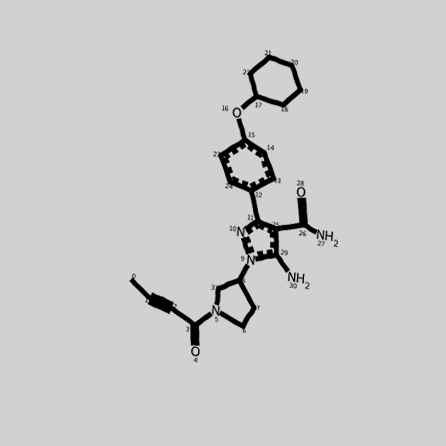 CC#CC(=O)N1CCC(n2nc(-c3ccc(OC4CCCCC4)cc3)c(C(N)=O)c2N)C1